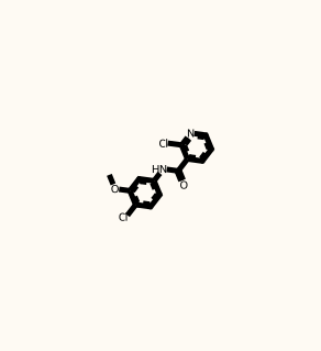 COc1cc(NC(=O)c2cccnc2Cl)ccc1Cl